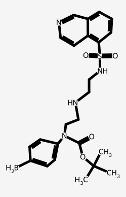 Bc1ccc(N(CCNCCNS(=O)(=O)c2cccc3cnccc23)C(=O)OC(C)(C)C)cc1